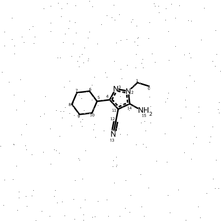 CCn1nc(C2CCCCC2)c(C#N)c1N